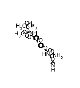 COC(=O)[C@H](CCC(C)(C)C)NC(=O)c1ccc(Oc2cccc(OCC(=O)NC(COC3CNC3)C(N)=O)c2)nc1